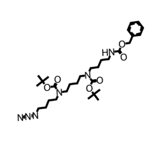 CC(C)(C)OC(=O)N(CCCCN=[N+]=[N-])CCCCN(CCCCNC(=O)OCc1ccccc1)C(=O)OC(C)(C)C